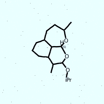 CC(C)OC1O[C@@H]2OC(C)CCC3CCCC(C1C)C32